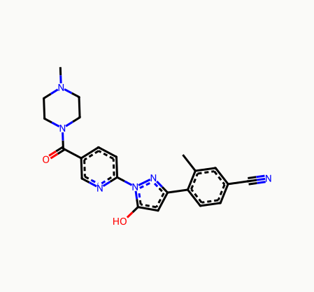 Cc1cc(C#N)ccc1-c1cc(O)n(-c2ccc(C(=O)N3CCN(C)CC3)cn2)n1